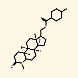 CC1CCC(C(=O)OCC2CC[C@H]3[C@@H]4CCC5N(C)C(=O)CC[C@]5(C)[C@@H]4CC[C@]23C)CC1